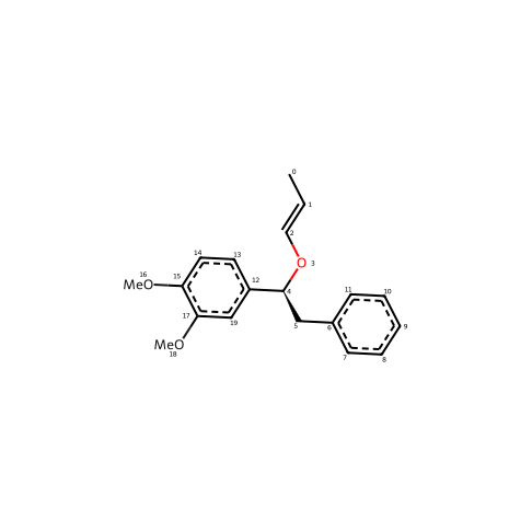 CC=CO[C@@H](Cc1ccccc1)c1ccc(OC)c(OC)c1